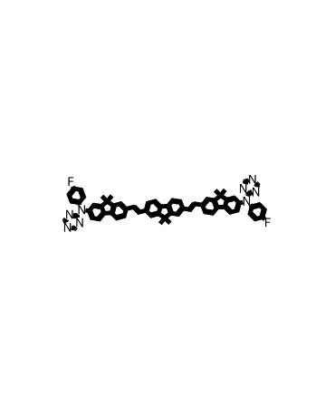 CC1(C)c2cc(/C=C/c3ccc4c(c3)C(C)(C)c3cc(N(c5ccc(F)cc5)c5ncncn5)ccc3-4)ccc2-c2ccc(/C=C/c3ccc4c(c3)C(C)(C)c3cc(N(c5ccc(F)cc5)c5ncncn5)ccc3-4)cc21